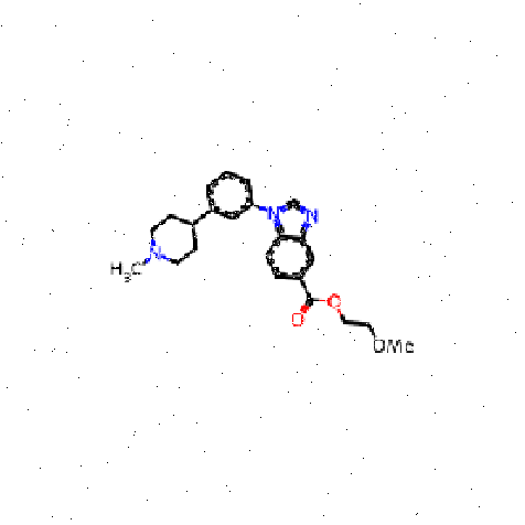 COCCOC(=O)c1ccc2c(c1)ncn2-c1cccc(C2CCN(C)CC2)c1